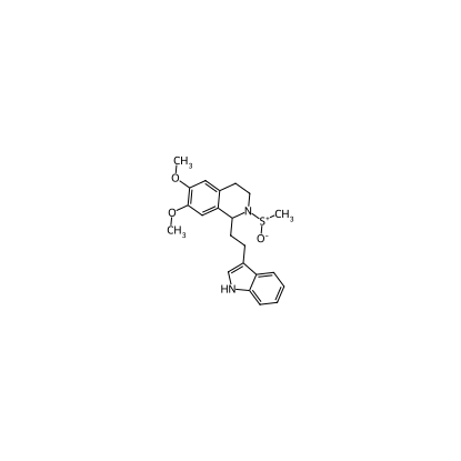 COc1cc2c(cc1OC)C(CCc1c[nH]c3ccccc13)N([S+](C)[O-])CC2